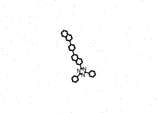 c1ccc(-c2nc(-c3ccccc3)nc(-c3ccc4cc(-c5ccc(-c6ccc7ccccc7c6)cc5)ccc4c3)n2)cc1